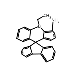 CCB1c2ccccc2C2(c3ccccc3-c3ccccc32)c2cccc(N)c21